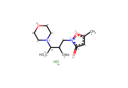 COC(Cn1oc(C)cc1=O)C(C(=O)O)N1CCOCC1.Cl